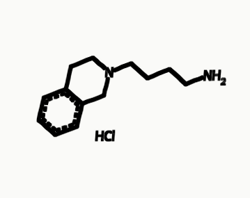 Cl.NCCCCN1CCc2ccccc2C1